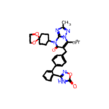 CCCc1c(Cc2ccc(-c3ccccc3-c3noc(=O)[nH]3)cc2)c(=O)n(C2CCC3(CC2)OCCO3)c2nc(C)nn12